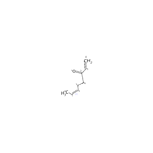 C=CC(=O)CC/C=C\C